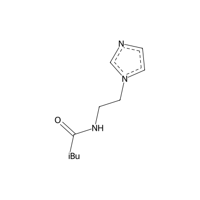 CCC(C)C(=O)NCCn1ccnc1